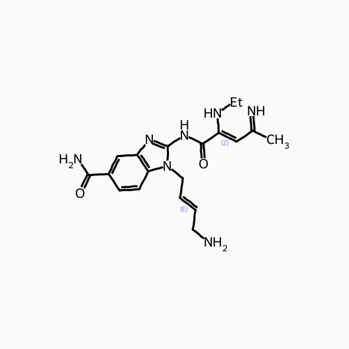 CCN/C(=C\C(C)=N)C(=O)Nc1nc2cc(C(N)=O)ccc2n1C/C=C/CN